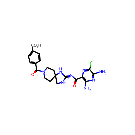 Nc1nc(N)c(C(=O)/N=C2\NCC3(CCN(C(=O)c4ccc(C(=O)O)cc4)CC3)N2)nc1Cl